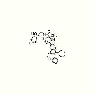 CC(C)(NC(=O)c1ccc2c(C3CCCCC3)c3n(c2c1)CCOc1ccccc1-3)C(=O)N1CCC(O)(c2ccc(F)cc2)CC1